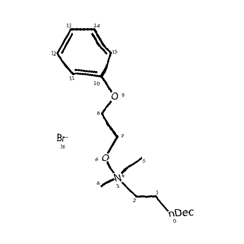 CCCCCCCCCCCC[N+](C)(C)OCCOc1ccccc1.[Br-]